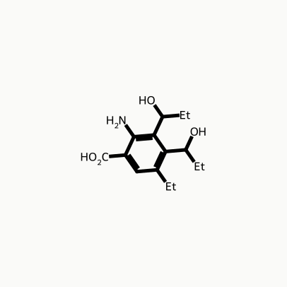 CCc1cc(C(=O)O)c(N)c(C(O)CC)c1C(O)CC